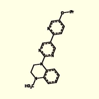 CC(C)Oc1ccc(-c2cnc(N3CCN(C(=O)O)c4ccccc43)nc2)nc1